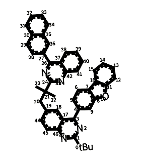 CC(C)(C)c1nc(-c2ccc3c(c2)oc2ccccc23)c2cc(CC(C)(C)c3nc(-c4ccc5ccccc5c4)c4ccccc4n3)ccc2n1